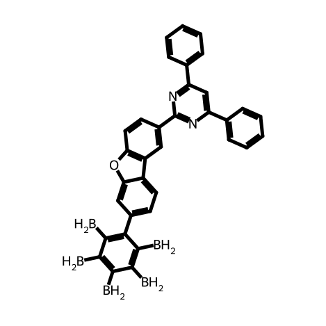 Bc1c(B)c(B)c(-c2ccc3c(c2)oc2ccc(-c4nc(-c5ccccc5)cc(-c5ccccc5)n4)cc23)c(B)c1B